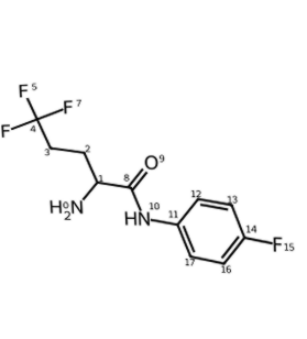 NC(CCC(F)(F)F)C(=O)Nc1ccc(F)cc1